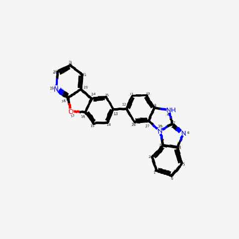 c1ccc2c(c1)nc1[nH]c3ccc(-c4ccc5oc6ncccc6c5c4)cc3n12